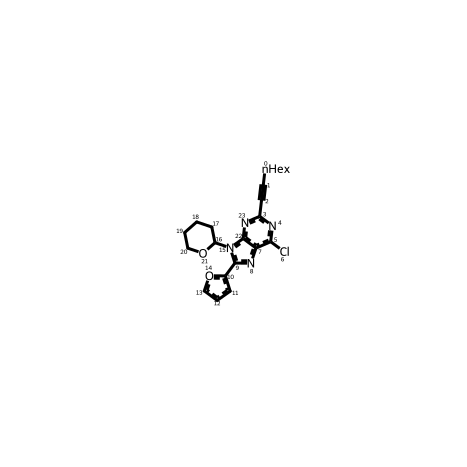 CCCCCCC#Cc1nc(Cl)c2nc(-c3ccco3)n(C3CCCCO3)c2n1